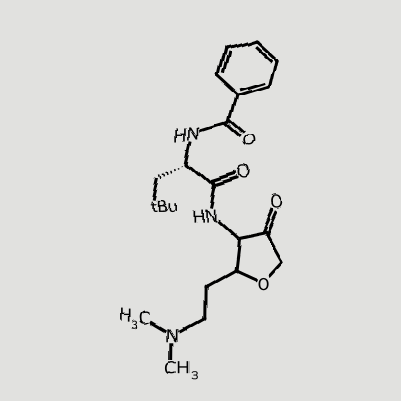 CN(C)CCC1OCC(=O)C1NC(=O)[C@H](CC(C)(C)C)NC(=O)c1ccccc1